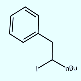 CCCCC(I)Cc1ccccc1